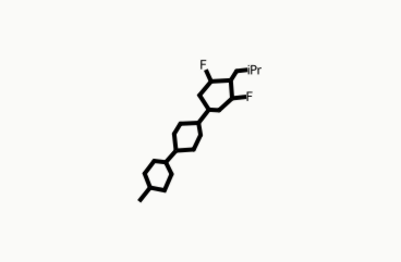 CC(C)CC1C(F)CC(C2CCC(C3CCC(C)CC3)CC2)CC1F